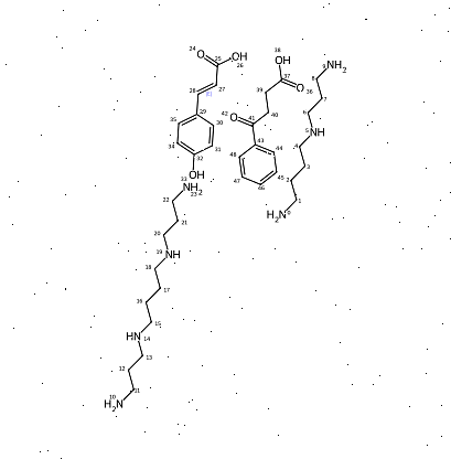 NCCCCNCCCN.NCCCNCCCCNCCCN.O=C(O)/C=C/c1ccc(O)cc1.O=C(O)CCC(=O)c1ccccc1